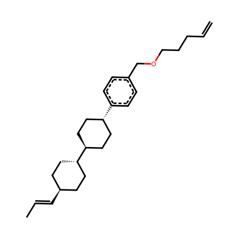 C=CCCCOCc1ccc([C@H]2CC[C@H]([C@H]3CC[C@H](C=CC)CC3)CC2)cc1